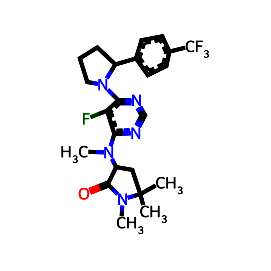 CN(c1ncnc(N2CCCC2c2ccc(C(F)(F)F)cc2)c1F)C1CC(C)(C)N(C)C1=O